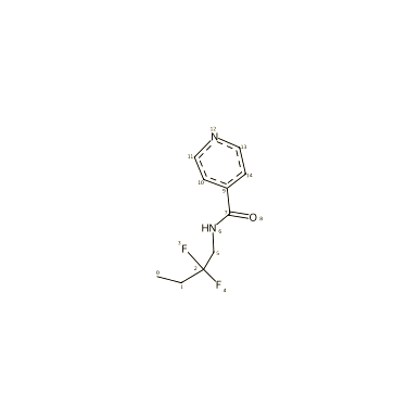 CCC(F)(F)CNC(=O)c1ccncc1